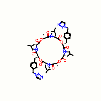 CC(C)C[C@H]1C(=O)O[C@H](Cc2ccc(Cn3ccnn3)cc2)C(=O)N(C)[C@@H](CC(C)C)C(=O)O[C@H](C)C(=O)N(C)[C@@H](CC(C)C)C(=O)O[C@H](Cc2ccc(Cn3ccnn3)cc2)C(=O)N(C)[C@@H](CC(C)C)C(=O)O[C@H](C)C(=O)N1C